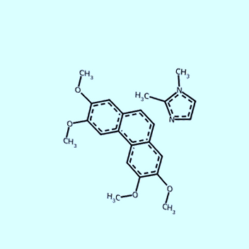 COc1cc2ccc3cc(OC)c(OC)cc3c2cc1OC.Cc1nccn1C